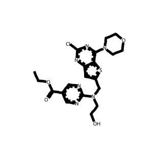 CCOC(=O)c1cnc(N(CCO)Cc2cc3nc(Cl)nc(N4CCOCC4)c3s2)nc1